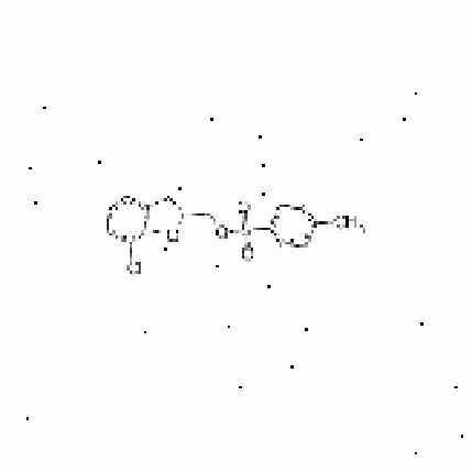 Cc1ccc(S(=O)(=O)OCC2Cc3cccc(Cl)c3O2)cc1